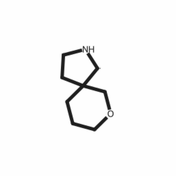 [CH]1NCCC12CCCOC2